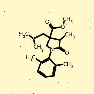 COC(=O)C1(CC(C)C)CN(c2c(C)cccc2C)C(=O)C1C